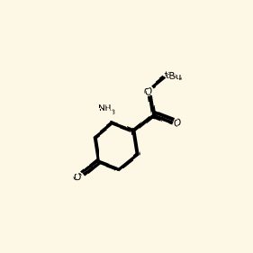 CC(C)(C)OC(=O)C1CCC(=O)CC1.N